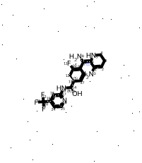 NC1=CCCN/C1=C(\N)C1=C(F)C[C@H]([C@@H](O)Nc2cc(C(F)(F)F)ccn2)C=C1